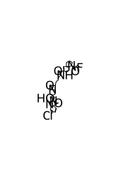 O=C(NCCCCC(=O)N1CCC(O)(Cn2cnc3cc(Cl)ccc3c2=O)CC1)c1ccc2c(c1)CCCN2C(=O)CF